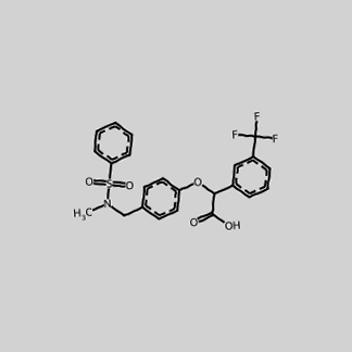 CN(Cc1ccc(OC(C(=O)O)c2cccc(C(F)(F)F)c2)cc1)S(=O)(=O)c1ccccc1